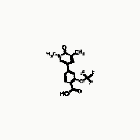 Cc1cc(-c2ccc(C(=O)O)c(OC(F)(F)F)c2)cn(C)c1=O